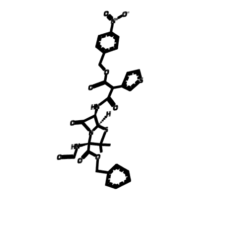 CC1(C)S[C@@H]2[C@H](NC(=O)C(C(=O)OCc3ccc([N+](=O)[O-])cc3)c3ccsc3)C(=O)N2[C@@]1(NC=O)C(=O)OCc1ccccc1